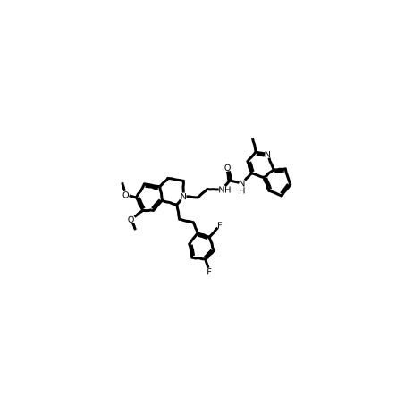 COc1cc2c(cc1OC)C(CCc1ccc(F)cc1F)N(CCNC(=O)Nc1cc(C)nc3ccccc13)CC2